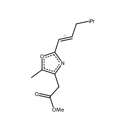 COC(=O)Cc1nc(/C=C/CC(C)C)oc1C